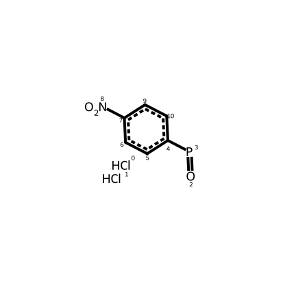 Cl.Cl.O=Pc1ccc([N+](=O)[O-])cc1